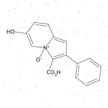 O=C(O)C1=C(c2ccccc2)C=C2C=CC(O)=C[N+]21[O-]